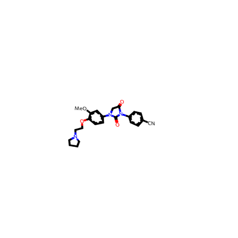 COc1cc(N2CC(=O)N(c3ccc(C#N)cc3)C2=O)ccc1OCCN1CCCC1